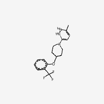 CC1=CC=C(N2CCC(Oc3ccccc3C(F)(F)F)CC2)NN1